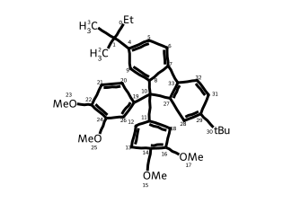 CCC(C)(C)c1ccc2c(c1)C(c1ccc(OC)c(OC)c1)(c1ccc(OC)c(OC)c1)c1cc(C(C)(C)C)ccc1-2